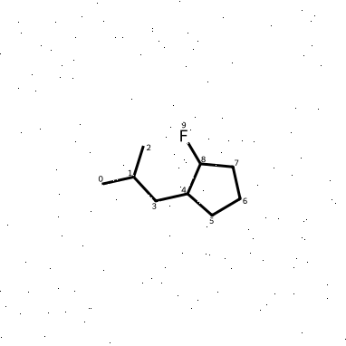 CC(C)CC1CCCC1F